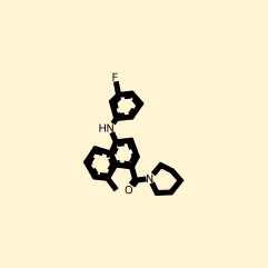 Cc1cccc2c(Nc3cccc(F)c3)ccc(C(=O)N3CCCCC3)c12